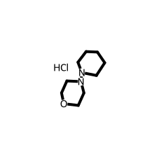 C1CCN(N2CCOCC2)CC1.Cl